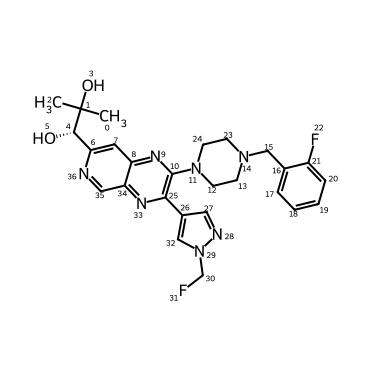 CC(C)(O)[C@@H](O)c1cc2nc(N3CCN(Cc4ccccc4F)CC3)c(-c3cnn(CF)c3)nc2cn1